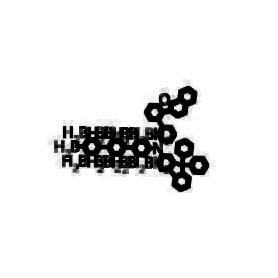 Bc1c(B)c(B)c(-c2c(B)c(B)c(-c3c(B)c(B)c(N(c4cccc(-c5cccc6oc7c8ccccc8ccc7c56)c4)c4ccc5c(c4)C(c4ccccc4)(c4ccccc4)c4ccccc4-5)c(B)c3B)c(B)c2B)c(B)c1B